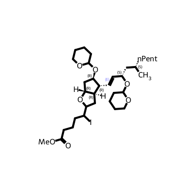 CCCCC[C@H](C)C[C@@H](/C=C/[C@@H]1[C@H]2CC(C(I)CCCC(=O)OC)O[C@@H]2C[C@H]1OC1CCCCO1)OC1CCCCO1